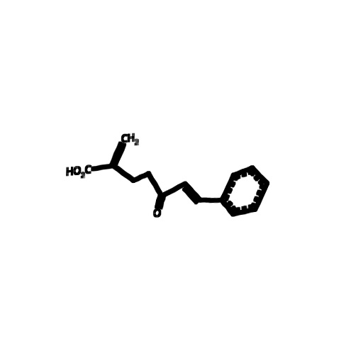 C=C(CCC(=O)C=Cc1ccccc1)C(=O)O